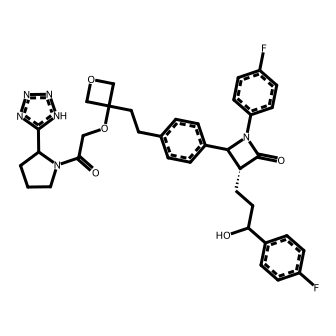 O=C(COC1(CCc2ccc(C3[C@@H](CCC(O)c4ccc(F)cc4)C(=O)N3c3ccc(F)cc3)cc2)COC1)N1CCCC1c1nnn[nH]1